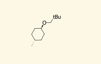 CC(C)(C)CO[C@H]1CC[C@H](C)CC1